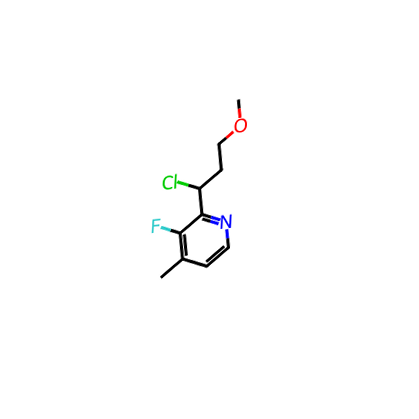 COCCC(Cl)c1nccc(C)c1F